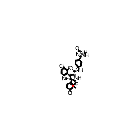 CC(C)(C)C[C@@H]1N[C@@H](C(=O)Nc2ccc(-c3nc(=O)[nH][nH]3)cc2)[C@H](c2cccc(Cl)c2F)[C@@]1(C#N)c1ccc(Cl)cc1F